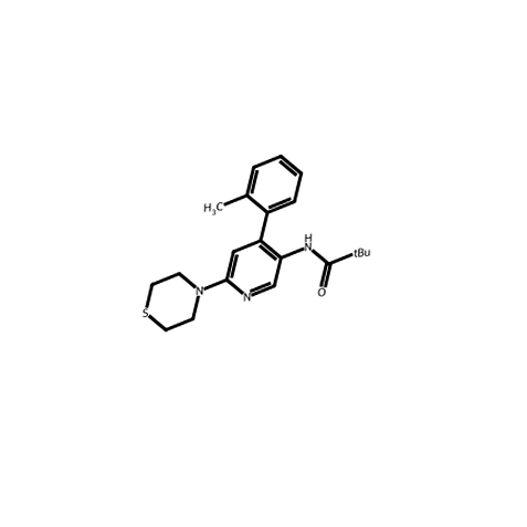 Cc1ccccc1-c1cc(N2CCSCC2)ncc1NC(=O)C(C)(C)C